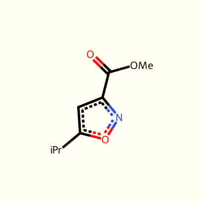 COC(=O)c1cc(C(C)C)on1